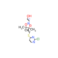 CC1(C)ON(/C=C/O)OC1(C)CCSc1ccnc(Cl)n1